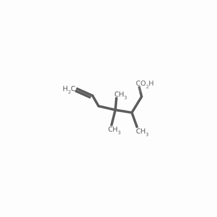 C=CCC(C)(C)C(C)CC(=O)O